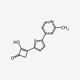 Cc1cc(-c2ccc(C3=C(O)C(=O)C3)s2)ccn1